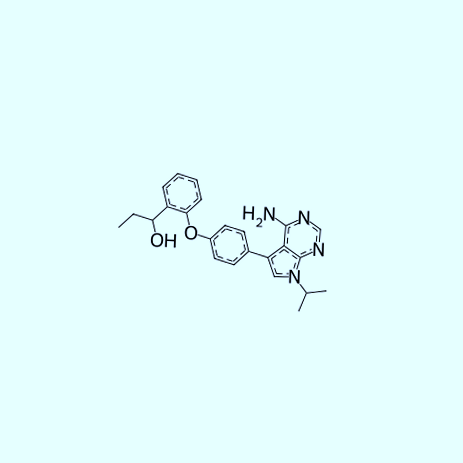 CCC(O)c1ccccc1Oc1ccc(-c2cn(C(C)C)c3ncnc(N)c23)cc1